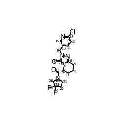 O=C([C@H]1CCCc2nn(Cc3ccc(Cl)nc3)c(=O)n21)N1CCC(F)(F)C1